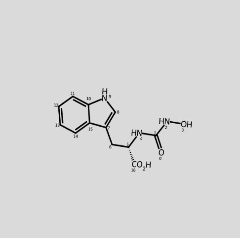 O=C(NO)N[C@@H](Cc1c[nH]c2ccccc12)C(=O)O